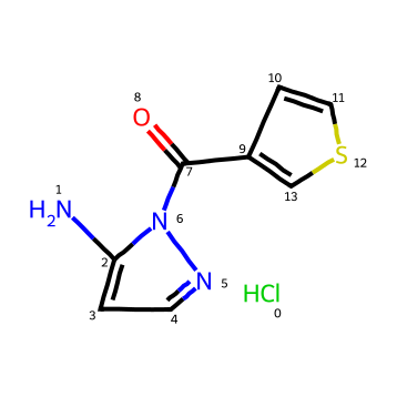 Cl.Nc1ccnn1C(=O)c1ccsc1